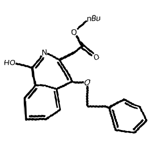 CCCCOC(=O)c1nc(O)c2ccccc2c1OCc1ccccc1